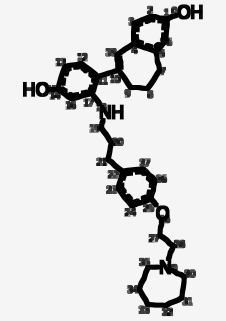 Oc1ccc2c(c1)CCCC(c1ccc(O)cc1NCCCc1ccc(OCCN3CCCCCC3)cc1)=C2